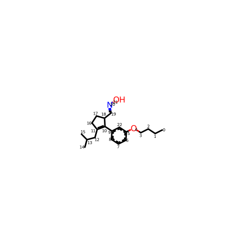 CCCCOc1cccc(C2=C(CC(C)C)CCC2C=NO)c1